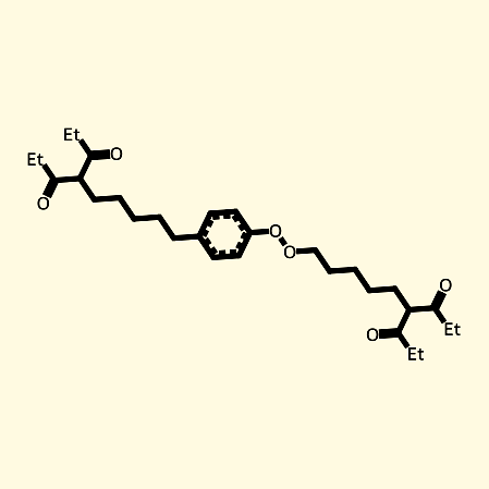 CCC(=O)C(CCCCCOOc1ccc(CCCCCC(C(=O)CC)C(=O)CC)cc1)C(=O)CC